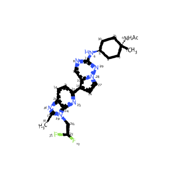 CC(=O)N[C@]1(C)CC[C@@H](Nc2ncc3c(-c4ccc5nc(C)n(CC(F)F)c5n4)ccn3n2)CC1